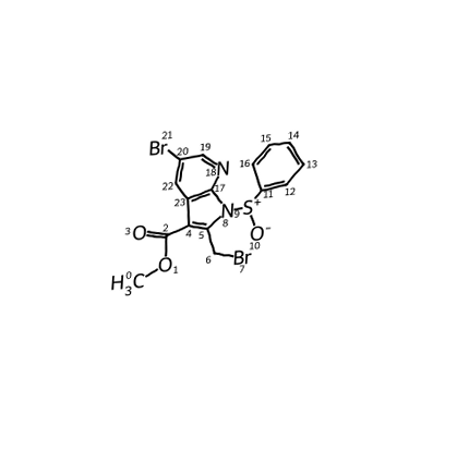 COC(=O)c1c(CBr)n([S+]([O-])c2ccccc2)c2ncc(Br)cc12